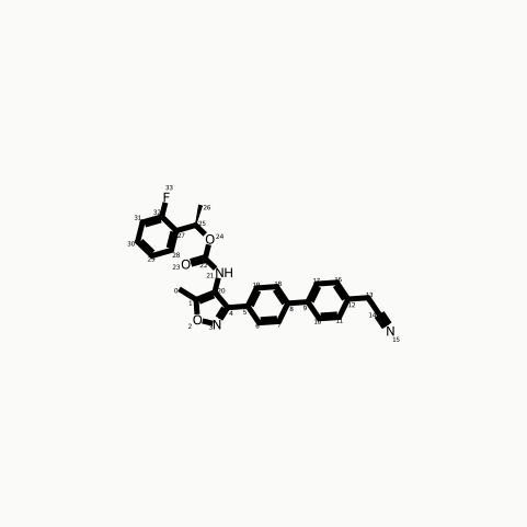 Cc1onc(-c2ccc(-c3ccc(CC#N)cc3)cc2)c1NC(=O)O[C@H](C)c1ccccc1F